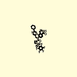 O=C([C@H]1CCN1S(=O)(=O)c1c(F)c(F)c(F)c(F)c1F)N(Cc1cnc(C2CCCCC2)cn1)c1ccc2c(=O)[nH]ncc2c1